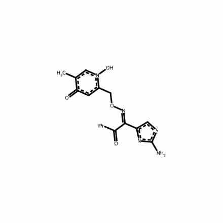 Cc1cn(O)c(CO/N=C(\C(=O)C(C)C)c2csc(N)n2)cc1=O